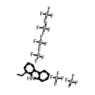 CCc1cccc2c1[nH]c1ccccc12.F[B-](F)(F)F.F[B-](F)(F)F.F[B-](F)(F)F.F[B-](F)(F)F.F[B-](F)(F)F.F[B-](F)(F)F